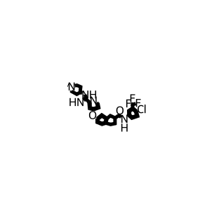 CN1CCC(NC(=N)c2cc(Oc3ccc4c(c3)CC(C(=O)Nc3ccc(Cl)c(C(F)(F)F)c3)CC4)ccn2)CC1